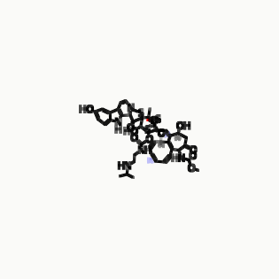 COC(=O)NC1C(=O)C[C@H](O)/C(=C/CS(C)(=S)=S)C2=C1C#C/C=C\C#C[C@@H]2OC1OC(C)C(SC)(C(=O)c2nccc3c2[nH]c2ccc(O)cc23)C(O)C1OC(=O)NCCNC(C)C